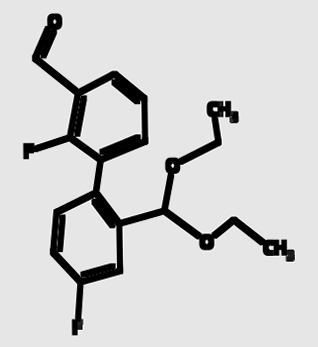 CCOC(OCC)c1cc(F)ccc1-c1cccc(C=O)c1F